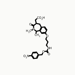 CC1c2cc(OCCCNC(=O)OCc3ccc([N+](=O)[O-])cc3)ccc2CC(CC(=O)O)C(=O)N1C